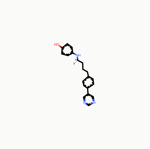 Oc1ccc(N[C@@H](I)CCCc2ccc(-c3cncnc3)cc2)cc1